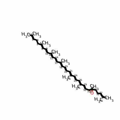 CC(C)=CCC/C(C)=C/C=C/C(C)=C/C=C/C(C)=C/C=C/C=C(C)/C=C/C=C(C)/C=C/C1OC1(C)CCC=C(C)C